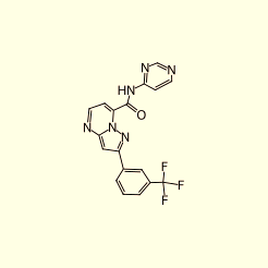 O=C(Nc1ccncn1)c1ccnc2cc(-c3cccc(C(F)(F)F)c3)nn12